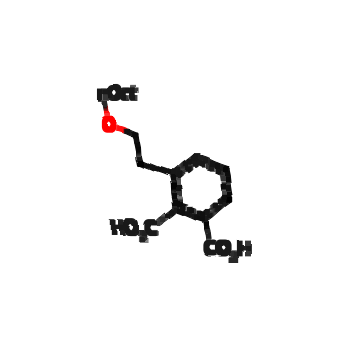 CCCCCCCCOCCc1cccc(C(=O)O)c1C(=O)O